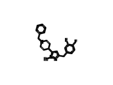 CCn1nc(Cc2ccc(F)c(F)c2)cc1C1CCN(Cc2ccccc2)CC1